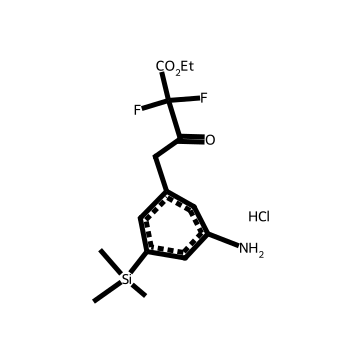 CCOC(=O)C(F)(F)C(=O)Cc1cc(N)cc([Si](C)(C)C)c1.Cl